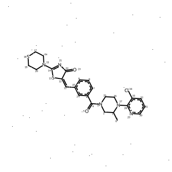 CC1CN(C(=O)c2cccc(C=C3SC(N4CCSCC4)=NC3=O)c2)CCN1c1ncccc1Cl